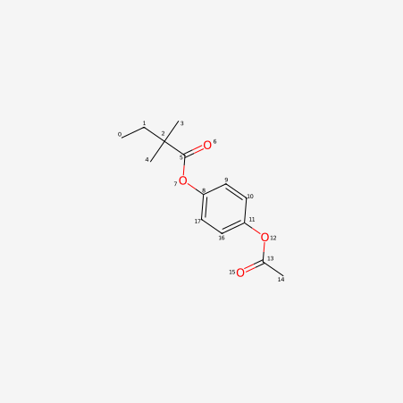 CCC(C)(C)C(=O)Oc1ccc(OC(C)=O)cc1